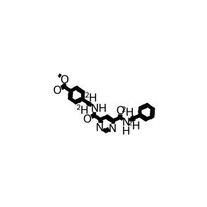 [2H]C([2H])(NC(=O)c1cc(C(=O)NC([2H])([2H])c2ccc(C(=O)OC)cc2)ncn1)c1ccccc1